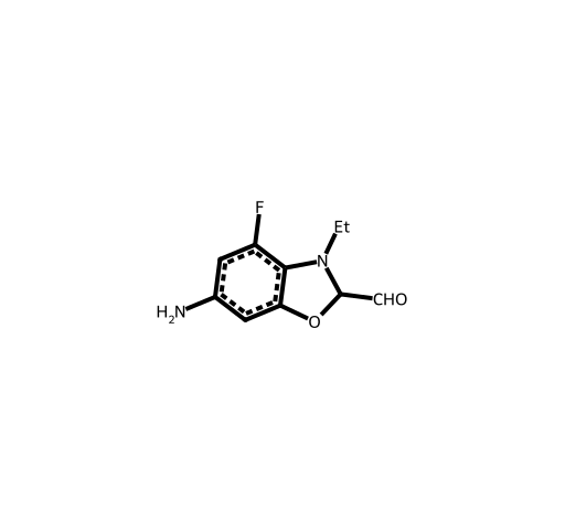 CCN1c2c(F)cc(N)cc2OC1C=O